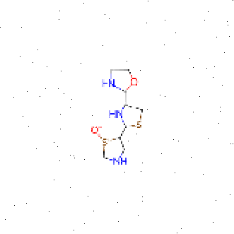 [O-][S+]1CNCC1C1NC(C2NCCO2)CS1